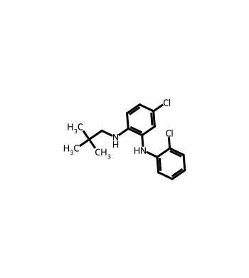 CC(C)(C)CNc1ccc(Cl)cc1Nc1ccccc1Cl